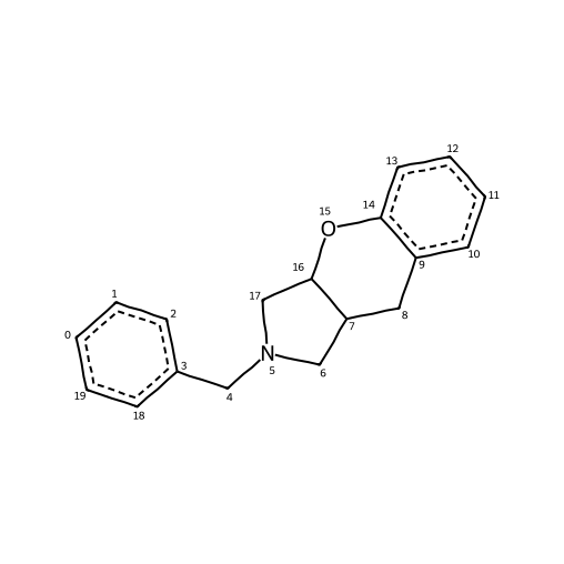 c1ccc(CN2CC3Cc4ccccc4OC3C2)cc1